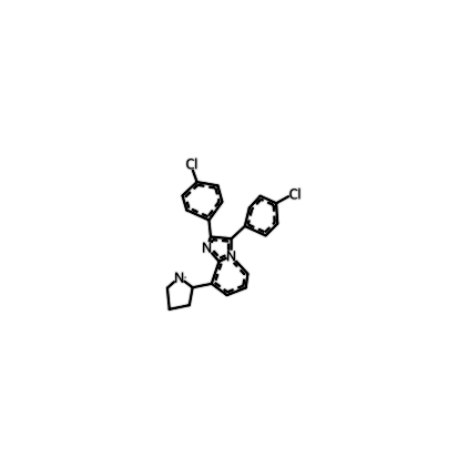 Clc1ccc(-c2nc3c(C4CCC[N]4)cccn3c2-c2ccc(Cl)cc2)cc1